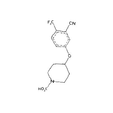 N#Cc1cc(OC2CCN(C(=O)O)CC2)ccc1C(F)(F)F